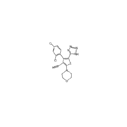 N#Cc1c(N2CCOCC2)sc(-c2nnn[nH]2)c1-c1ccc(Cl)cc1Cl